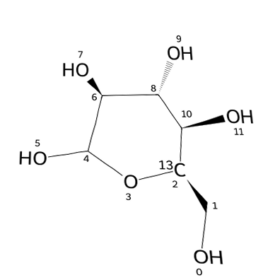 OC[13C@H]1OC(O)[C@@H](O)[C@H](O)[C@H]1O